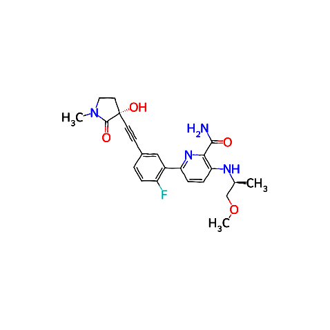 COC[C@H](C)Nc1ccc(-c2cc(C#C[C@]3(O)CCN(C)C3=O)ccc2F)nc1C(N)=O